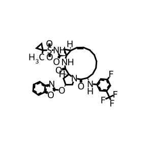 CC1(S(=O)(=O)NC(=O)[C@@]23C[C@H]2/C=C\CCCCC[C@H](Nc2cc(F)cc(C(F)(F)F)c2)C(=O)N2C[C@H](Oc4nc5ccccc5o4)C[C@H]2C(=O)N3)CC1